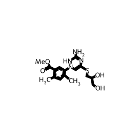 COC(=O)c1cc(N2C=C(SCC(O)CO)N=C(N)N2)c(C)cc1C